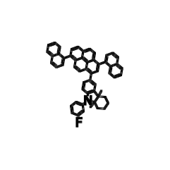 CC12CCCCC1(C)N(c1cccc(F)c1)c1ccc(-c3cc(-c4cccc5ccccc45)c4ccc5ccc(-c6cccc7ccccc67)c6ccc3c4c56)cc12